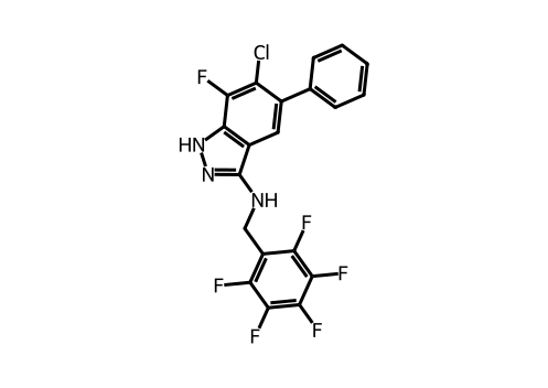 Fc1c(F)c(F)c(CNc2n[nH]c3c(F)c(Cl)c(-c4ccccc4)cc23)c(F)c1F